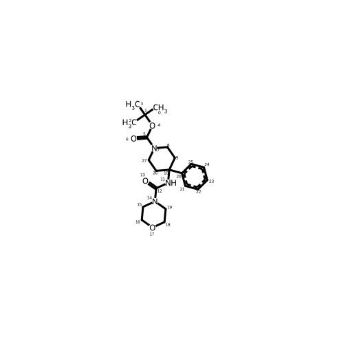 CC(C)(C)OC(=O)N1CCC(NC(=O)N2CCOCC2)(c2ccccc2)CC1